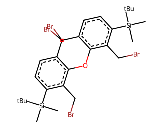 CC(C)(C)[Si](C)(C)c1ccc(CBr)c(Oc2c(CBr)ccc([Si](C)(C)C(C)(C)C)c2CBr)c1CBr